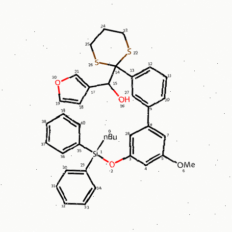 CCCC[Si](Oc1cc(OC)cc(-c2cccc(C3(C(O)c4ccoc4)SCCCS3)c2)c1)(c1ccccc1)c1ccccc1